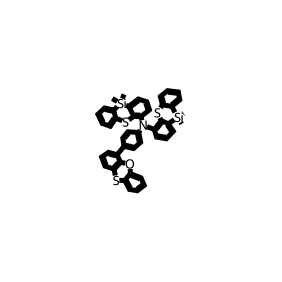 C[Si]1(C)c2ccccc2Sc2c(N(c3ccc(-c4cccc5c4Oc4ccccc4S5)cc3)c3cccc4c3Sc3ccccc3[Si]4(C)C)cccc21